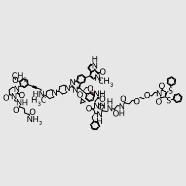 COc1ccc(C#CCNC2(C)CCN(C3CCN(c4nc([C@@](COCNC(=O)CNC(=O)[C@H](Cc5ccccc5)NC(=O)CNC(=O)CNC(=O)CCOCCOCCN5C(=O)C(Sc6ccccc6)=C(Sc6ccccc6)C5=O)(OC5CC5)c5ccccc5)c5cc(-c6cn(C)c(=O)c7[nH]ccc67)ccc5n4)CC3)CC2)cc1N1CCC(=O)N(CNC(=O)CCC(N)=O)C1=O